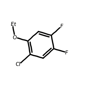 CCOc1cc(F)c(F)cc1Cl